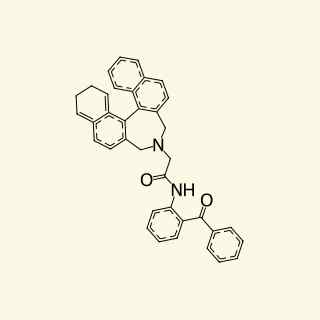 O=C(CN1Cc2ccc3c(c2-c2c(ccc4ccccc24)C1)=CCCC=3)Nc1ccccc1C(=O)c1ccccc1